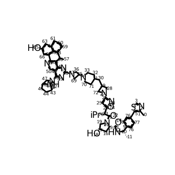 Cc1ncsc1-c1ccc([C@H](C)NC(=O)[C@@H]2C[C@@H](O)CN2C(=O)[C@H](c2cc(N3CC(CC4CCN(C5CN(c6nc(N7CC8CCC(C7)N8)c7cnc8c(c7n6)C(C)c6cccc7cc(O)cc-8c67)C5)CC4)C3)no2)C(C)C)cc1